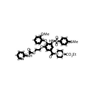 CCOC(=O)N1CCN(C(=O)c2cc(NS(=O)(=O)c3ccc(SC)cc3)c(Oc3ccccc3OC)c(OCCOC(=O)Nc3ccccn3)c2)CC1